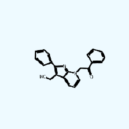 N#CCc1c2cccn(CC(=O)c3ccccc3)c-2nc1-c1ccccc1